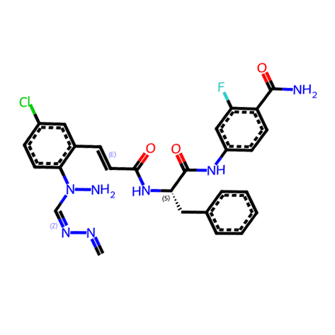 C=N/N=C\N(N)c1ccc(Cl)cc1/C=C/C(=O)N[C@@H](Cc1ccccc1)C(=O)Nc1ccc(C(N)=O)c(F)c1